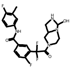 Cc1cc(NC(=O)c2ccc(F)c(C(F)(F)C(=O)N3CCN4C(CNC4O)C3)c2)ccc1F